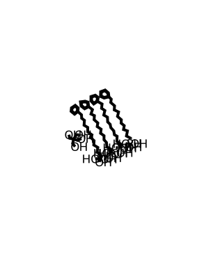 OCC(CO)(CO)CO.O[PH](O)(O)CCCCCCCCCCCCCc1ccccc1.O[PH](O)(O)CCCCCCCCCCCCCc1ccccc1.O[PH](O)(O)CCCCCCCCCCCCCc1ccccc1.O[PH](O)(O)CCCCCCCCCCCCCc1ccccc1